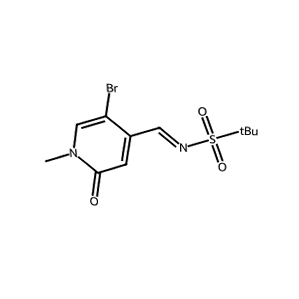 Cn1cc(Br)c(C=NS(=O)(=O)C(C)(C)C)cc1=O